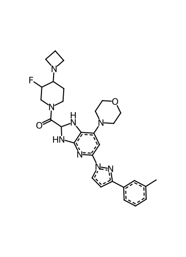 Cc1cccc(-c2ccn(-c3cc(N4CCOCC4)c4c(n3)NC(C(=O)N3CCC(N5CCC5)C(F)C3)N4)n2)c1